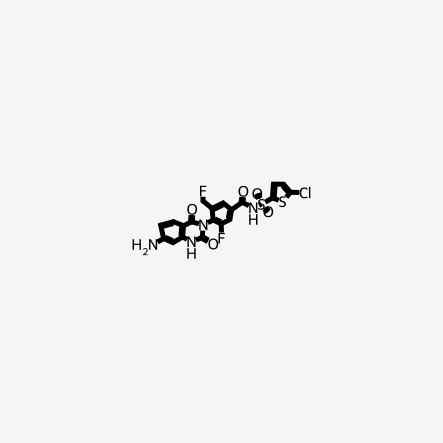 Nc1ccc2c(=O)n(-c3c(F)cc(C(=O)NS(=O)(=O)c4ccc(Cl)s4)cc3CF)c(=O)[nH]c2c1